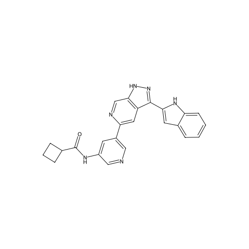 O=C(Nc1cncc(-c2cc3c(-c4cc5ccccc5[nH]4)n[nH]c3cn2)c1)C1CCC1